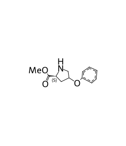 COC(=O)[C@@H]1CC(Oc2ccccc2)CN1